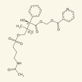 CC(=O)NCCCS(=O)(=O)OCC(C)(C)[C@@](O)(C(=O)OCOC(=O)c1cccnc1)c1ccccc1